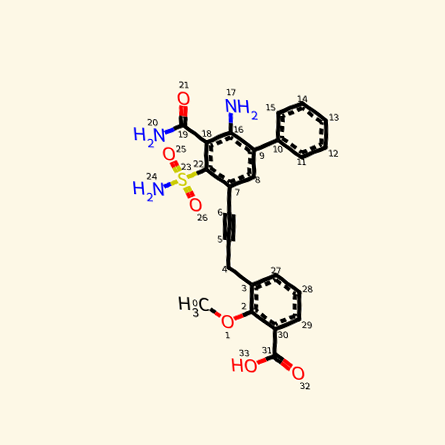 COc1c(CC#Cc2cc(-c3ccccc3)c(N)c(C(N)=O)c2S(N)(=O)=O)cccc1C(=O)O